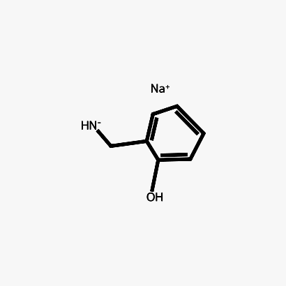 [NH-]Cc1ccccc1O.[Na+]